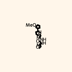 COc1cccc(-c2ccc3nc(NC(=O)Nc4ccon4)cn3n2)c1